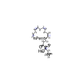 CCCCC/C=C\C/C=C\C/C=C\C/C=C\CCCC(=O)/P(=S)=C(\O)C[N+](C)(C)C